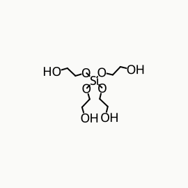 OCCO[Si](OCCO)(OCCO)OCCO